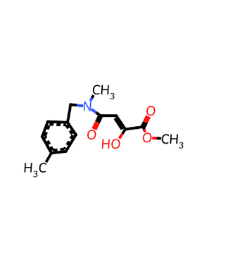 COC(=O)C(O)=CC(=O)N(C)Cc1ccc(C)cc1